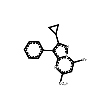 CC(C)c1cc(C(=O)O)nc2c(-c3ccccc3)c(C3CC3)nn12